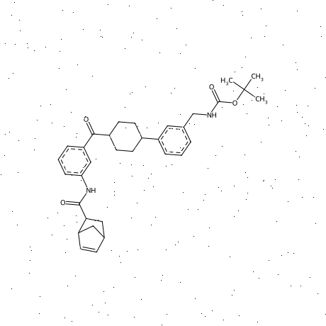 CC(C)(C)OC(=O)NCc1cccc(C2CCC(C(=O)c3cccc(NC(=O)C4CC5C=CC4C5)c3)CC2)c1